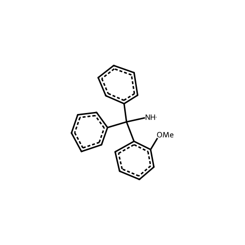 COc1ccccc1C([NH])(c1ccccc1)c1ccccc1